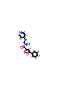 O=C(NCCc1ccncc1)c1cc(-c2ccccc2)on1